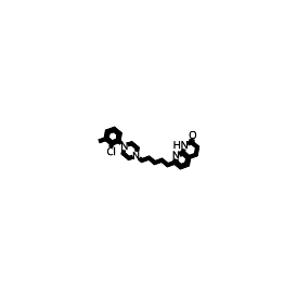 Cc1cccc(N2CCN(CCCCCc3ccc4c(n3)NC(=O)CC4)CC2)c1Cl